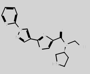 CCN(C(=O)c1csc(-c2cnn(-c3ccccn3)c2)n1)[C@H]1CCNC1